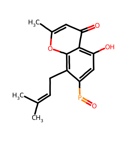 CC(C)=CCc1c(P=O)cc(O)c2c(=O)cc(C)oc12